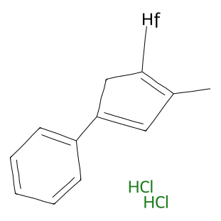 CC1=[C]([Hf])CC(c2ccccc2)=C1.Cl.Cl